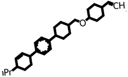 C=CC1CCC(OCC2CCC(c3ccc(C4C=CC(CCC)CC4)cc3)CC2)CC1